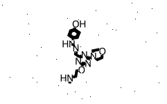 CNCCOc1nc(C=NNc2ccc(O)cc2)nc(N2CCOCC2)n1